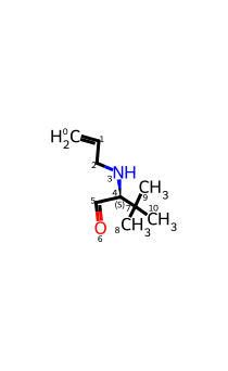 C=CCN[C@H]([C]=O)C(C)(C)C